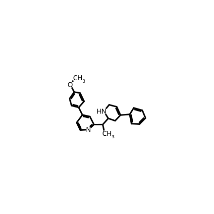 COc1ccc(-c2ccnc(C(C)C3CC(c4ccccc4)=CCN3)c2)cc1